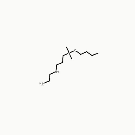 CCCCO[Si](C)(C)CCCNCCN